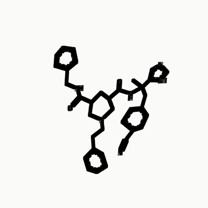 CC(Cc1ccc(C#N)cc1)(NC(=O)C1CC(C(=O)NCc2ccccc2)CN(CCc2ccccc2)C1)c1cnc[nH]1